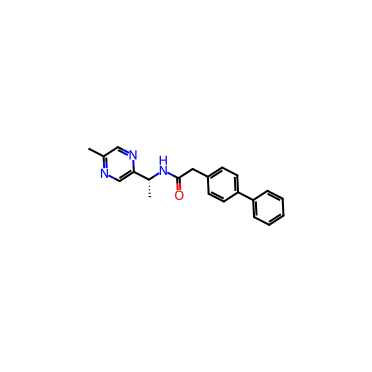 Cc1cnc([C@@H](C)NC(=O)Cc2ccc(-c3ccccc3)cc2)cn1